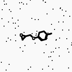 CC1=CC=C(OCC2CO2)CC1